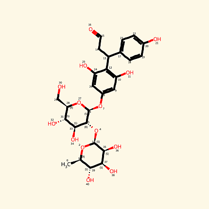 C[C@H]1O[C@@H](O[C@H]2[C@H](Oc3cc(O)c(C(CC=O)c4ccc(O)cc4)c(O)c3)O[C@H](CO)[C@@H](O)[C@@H]2O)[C@@H](O)[C@@H](O)[C@@H]1O